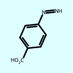 N=Nc1ccc(C(=O)O)cc1